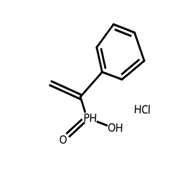 C=C(c1ccccc1)[PH](=O)O.Cl